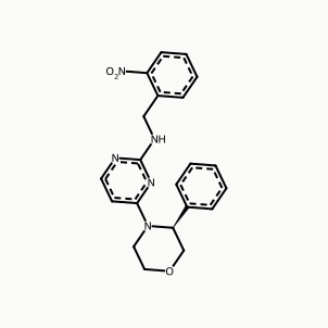 O=[N+]([O-])c1ccccc1CNc1nccc(N2CCOC[C@@H]2c2ccccc2)n1